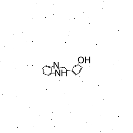 Oc1cccc(CCc2nc3ccccc3[nH]2)c1